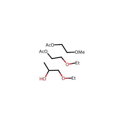 CCOCC(C)O.CCOCCOC(C)=O.COCCOC(C)=O